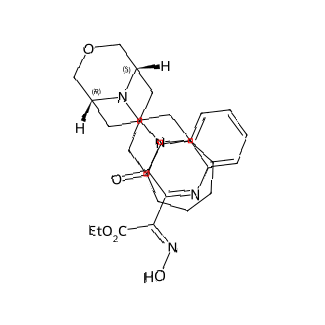 CCOC(=O)C(=NO)c1nc2ccccc2n(C2C[C@H]3COC[C@@H](C2)N3C2CC3CCCCC(C3)C2)c1=O